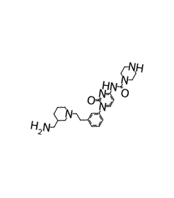 NCC1CCCN(CCc2cccc(-n3ccc(NC(=O)N4CCNCC4)nc3=O)c2)C1